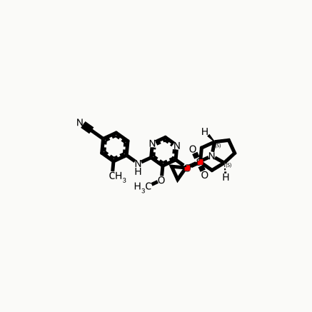 COc1c(Nc2ccc(C#N)cc2C)ncnc1OC1C[C@@H]2CC[C@@H](C1)N2S(=O)(=O)C1CC1